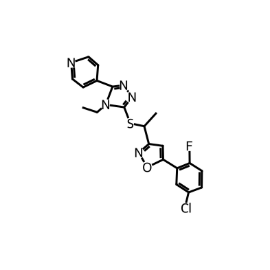 CCn1c(SC(C)c2cc(-c3cc(Cl)ccc3F)on2)nnc1-c1ccncc1